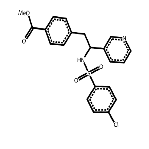 COC(=O)c1ccc(CC(NS(=O)(=O)c2ccc(Cl)cc2)c2cccnc2)cc1